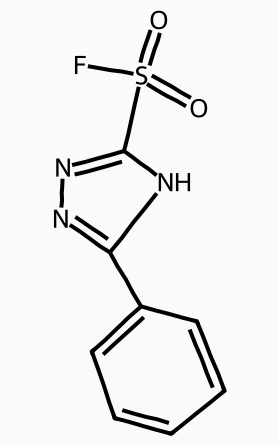 O=S(=O)(F)c1nnc(-c2ccccc2)[nH]1